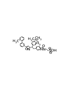 Cc1ccccc1-c1cccc(-c2cc(C(Cc3ccc(C(=O)NCCS(=O)(=O)O)cc3)c3ccc(C(C)(C)C)cc3)no2)c1